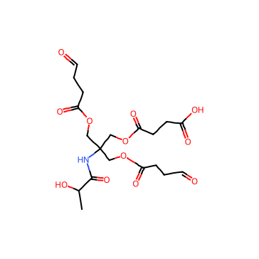 CC(O)C(=O)NC(COC(=O)CCC=O)(COC(=O)CCC=O)COC(=O)CCC(=O)O